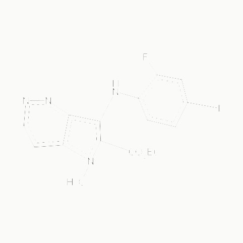 CCOC(=O)c1c(Nc2ccc(I)cc2F)c2nnccc2n1C